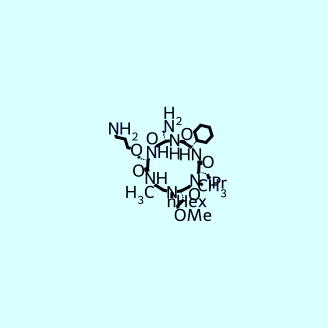 CCCCCCN1C[C@@H](C)NC(=O)[C@H](COCCCN)NC(=O)[C@H](CN)NC(=O)[C@H](C2CCCCC2)NC(=O)[C@H](CC(C)C)N(C)C(=O)[C@@H]1CCOC